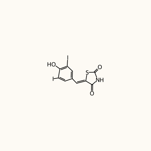 O=C1NC(=O)/C(=C/c2cc(I)c(O)c(I)c2)S1